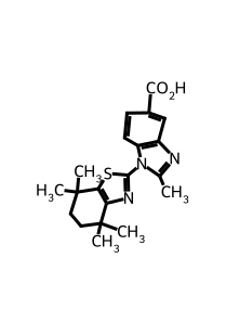 Cc1nc2cc(C(=O)O)ccc2n1-c1nc2c(s1)C(C)(C)CCC2(C)C